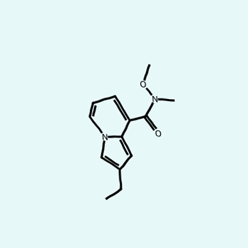 CCc1cc2c(C(=O)N(C)OC)cccn2c1